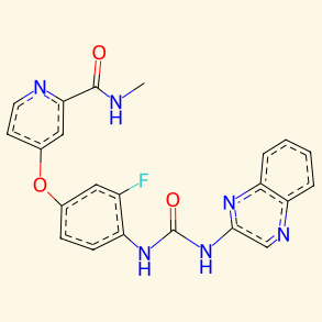 CNC(=O)c1cc(Oc2ccc(NC(=O)Nc3cnc4ccccc4n3)c(F)c2)ccn1